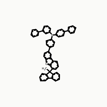 CC1(c2cccc3c2oc2ccc(-c4ccc(N(c5ccc(-c6ccccc6)cc5)c5cccc(-c6ccccc6)c5)cc4)cc23)c2ccccc2-c2ccccc21